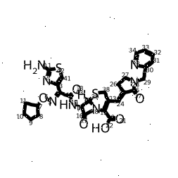 Nc1nc(C(=NOC2CCCC2)C(=O)N[C@@H]2C(=O)N3C(C(=O)O)=C(C=C4CCN(Cc5ccccn5)C4=O)CS[C@H]23)cs1